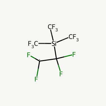 F[C](F)C(F)(F)[Si](C(F)(F)F)(C(F)(F)F)C(F)(F)F